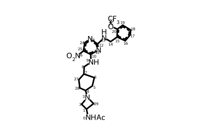 CC(=O)NC1CN(C2CCC(CNc3nc(NCc4ccccc4OC(F)(F)F)ncc3[N+](=O)[O-])CC2)C1